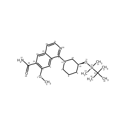 COc1cc2c(N3CCC[C@H](O[Si](C)(C)C(C)(C)C)C3)nccc2cc1C(N)=O